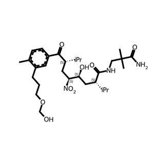 Cc1ccc(C(=O)[C@@H](C[C@@H]([C@@H](O)C[C@H](C(=O)NCC(C)(C)C(N)=O)C(C)C)[N+](=O)[O-])C(C)C)cc1CCCOCO